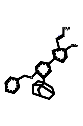 COc1ccc(-c2ccc(OCc3ccccc3)c(C34CC5CC(CC(C5)C3)C4)c2)cc1/C=C/C(=O)O